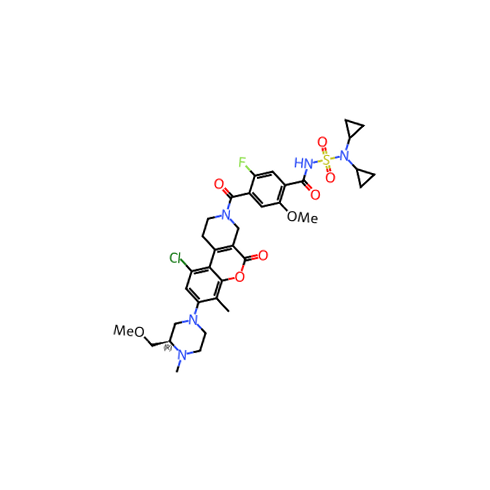 COC[C@H]1CN(c2cc(Cl)c3c4c(c(=O)oc3c2C)CN(C(=O)c2cc(OC)c(C(=O)NS(=O)(=O)N(C3CC3)C3CC3)cc2F)CC4)CCN1C